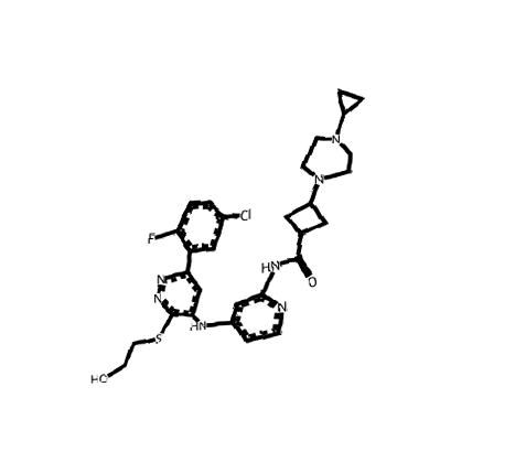 O=C(Nc1cc(Nc2cc(-c3cc(Cl)ccc3F)nnc2SCCO)ccn1)C1CC(N2CCN(C3CC3)CC2)C1